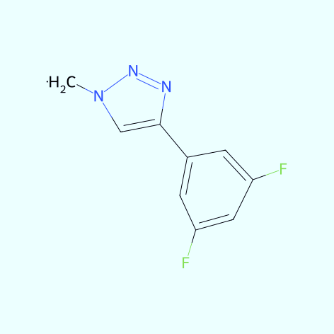 [CH2]n1cc(-c2cc(F)cc(F)c2)nn1